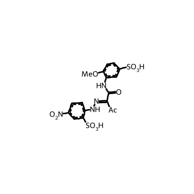 COc1ccc(S(=O)(=O)O)cc1NC(=O)C(=NNc1ccc([N+](=O)[O-])cc1S(=O)(=O)O)C(C)=O